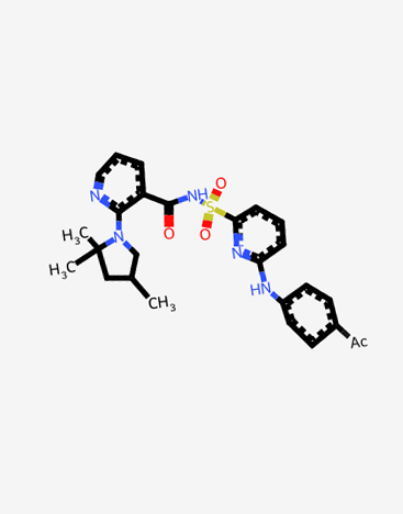 CC(=O)c1ccc(Nc2cccc(S(=O)(=O)NC(=O)c3cccnc3N3CC(C)CC3(C)C)n2)cc1